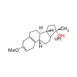 CCC[C@]12CC[C@@H]3C4=C(CC[C@H]3[C@@H]1CC[C@]2(C)O)CC(OC)=CC4